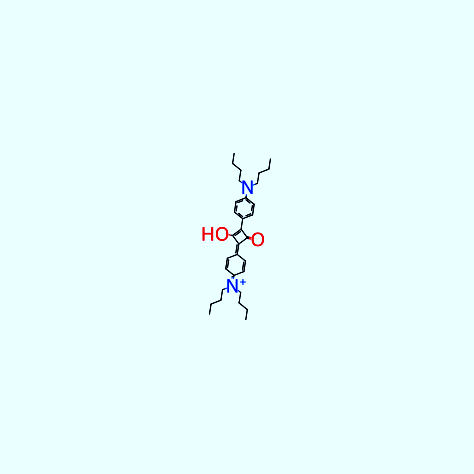 CCCCN(CCCC)c1ccc(C2=C(O)C(=C3C=CC(=[N+](CCCC)CCCC)C=C3)C2=O)cc1